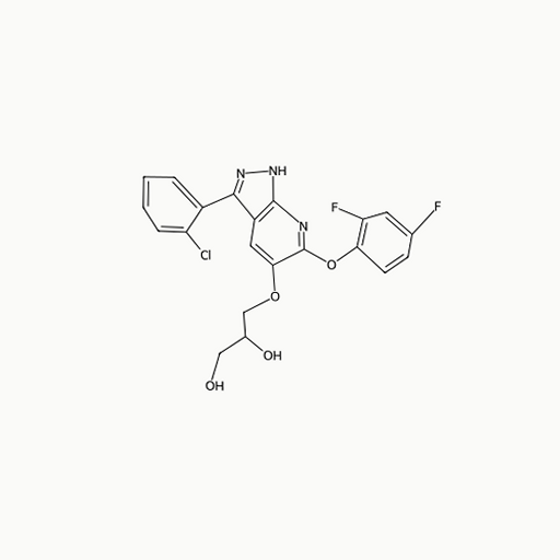 OCC(O)COc1cc2c(-c3ccccc3Cl)n[nH]c2nc1Oc1ccc(F)cc1F